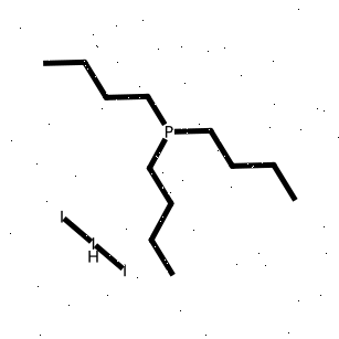 CCCCP(CCCC)CCCC.I[IH]I